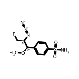 CO[C@H](c1ccc(S(N)(=O)=O)cc1)[C@@H](CF)N=[N+]=[N-]